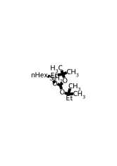 CCCCCC[SiH2]OC(OC(C)(C)CC)OC(C)(C)CC